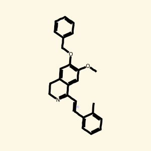 COc1cc2c(cc1OCc1ccccc1)CCN=C2/C=C/c1ccccc1C